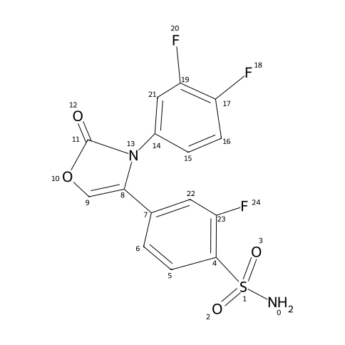 NS(=O)(=O)c1ccc(-c2coc(=O)n2-c2ccc(F)c(F)c2)cc1F